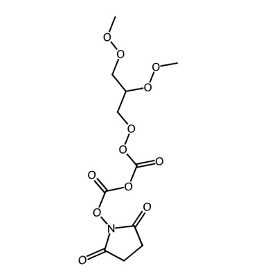 COOCC(COOC(=O)OC(=O)ON1C(=O)CCC1=O)OOC